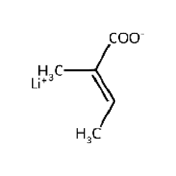 CC=C(C)C(=O)[O-].[Li+]